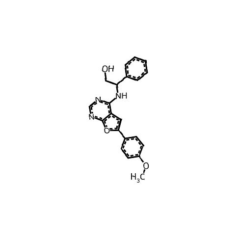 COc1ccc(-c2cc3c(NC(CO)c4ccccc4)ncnc3o2)cc1